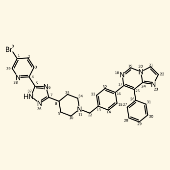 Brc1ccc(-c2nc(C3CCN(Cc4ccc(-c5ncn6ccnc6c5-c5ccccc5)cc4)CC3)n[nH]2)nc1